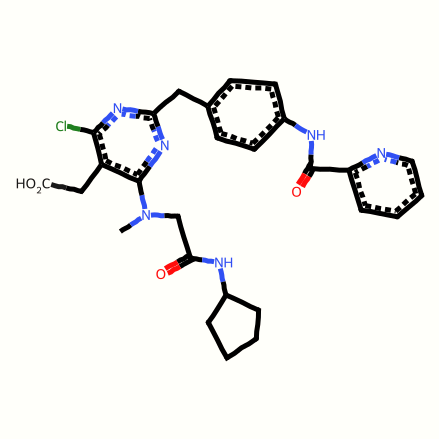 CN(CC(=O)NC1CCCC1)c1nc(Cc2ccc(NC(=O)c3ccccn3)cc2)nc(Cl)c1CC(=O)O